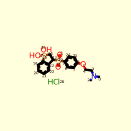 CN(C)CCOc1ccc(S(=O)(=O)C2CS(O)(O)c3ccccc32)cc1.Cl